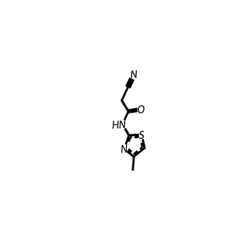 Cc1csc(NC(=O)CC#N)n1